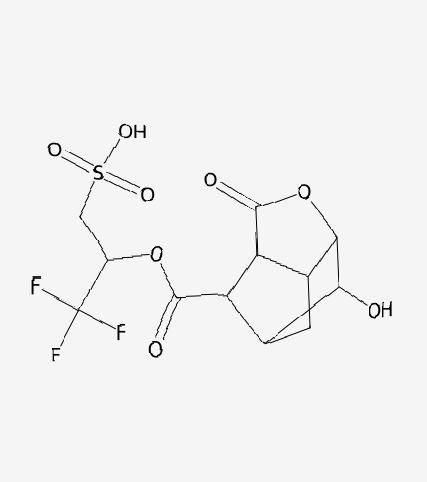 O=C(OC(CS(=O)(=O)O)C(F)(F)F)C1C2CC3C(OC(=O)C31)C2O